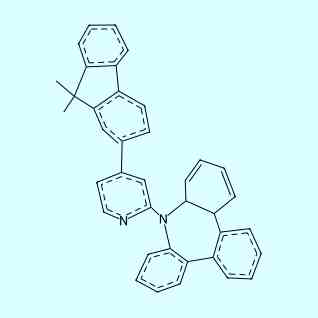 CC1(C)c2ccccc2-c2ccc(-c3ccnc(N4c5ccccc5-c5ccccc5C5C=CC=CC54)c3)cc21